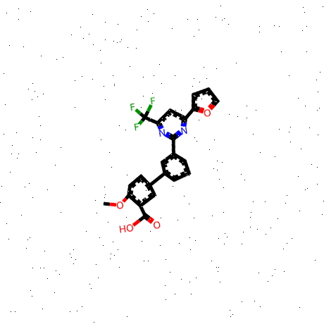 COc1ccc(-c2cccc(-c3nc(-c4ccco4)cc(C(F)(F)F)n3)c2)cc1C(=O)O